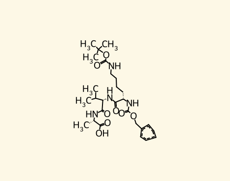 CC(C)[C@H](NC(=O)[C@H](CCCCNC(=O)OC(C)(C)C)NC(=O)OCc1ccccc1)C(=O)N[C@@H](C)C(=O)O